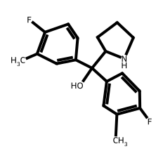 Cc1cc(C(O)(c2ccc(F)c(C)c2)C2CCCN2)ccc1F